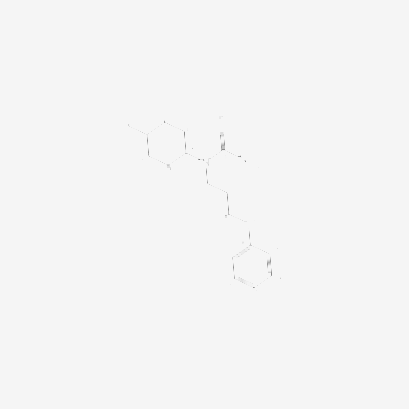 CC1CCC(N(CCCSc2ccccc2)C(N)=O)CC1